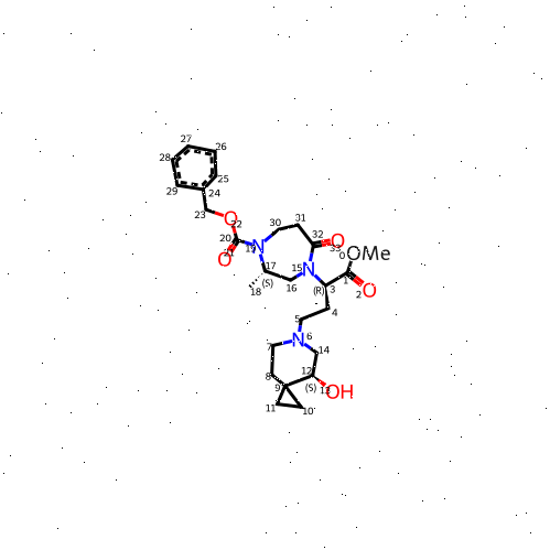 COC(=O)[C@@H](CCN1CCC2(CC2)[C@H](O)C1)N1C[C@H](C)N(C(=O)OCc2ccccc2)CCC1=O